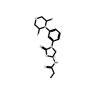 CCC(=O)N[C@@H]1CN(c2cccc(N3C(F)COCC3F)c2)C(=O)O1